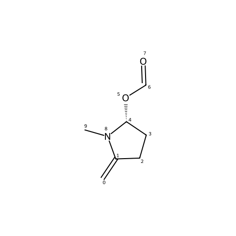 C=C1CC[C@@H](OC=O)N1C